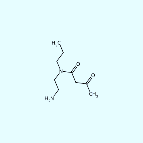 CCCN(CCN)C(=O)CC(C)=O